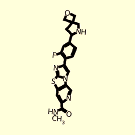 CNC(=O)c1cc2sc3nc(-c4ccc(C5CC6(CN5)COC6)cc4F)cn3c2cn1